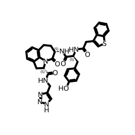 O=C(Cc1csc2ccccc12)N[C@@H](Cc1ccc(O)cc1)C(=O)N[C@H]1CCc2cccc3c2N(C1=O)[C@H](C(=O)NCc1c[nH]nn1)C3